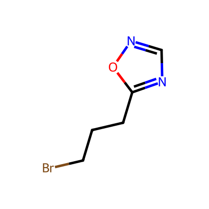 BrCCCc1ncno1